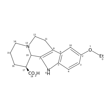 CCOc1ccc2[nH]c3c(c2c1)CCN1CCC[C@H](C(=O)O)C31